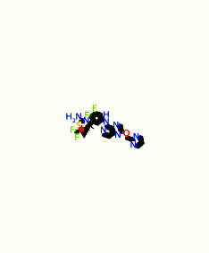 C[C@@]1(c2cc(Nc3nccc4nc(OCc5ncccn5)cnc34)cc(F)c2F)N=C(N)S[C@@]2(C(F)F)C[C@@H]12